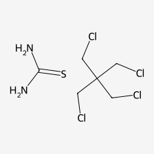 ClCC(CCl)(CCl)CCl.NC(N)=S